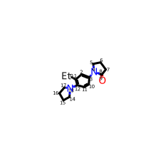 CCc1cc(N2CCCC2=O)ccc1N1CCCC1